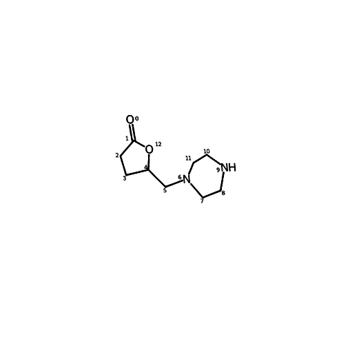 O=C1CCC(CN2CCNCC2)O1